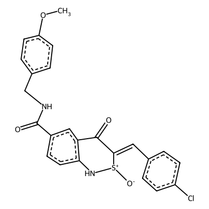 COc1ccc(CNC(=O)c2ccc3c(c2)C(=O)/C(=C/c2ccc(Cl)cc2)[S+]([O-])N3)cc1